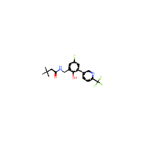 CC(C)(C)CC(=O)NCc1cc(F)cc(-c2ccc(C(F)(F)F)nc2)c1O